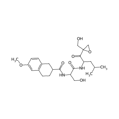 COc1ccc2c(c1)CCC(C(=O)NC(CO)C(=O)NC(CC(C)C)C(=O)C1(CO)CO1)C2